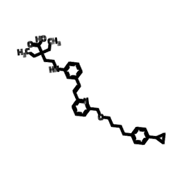 CCC(CC)(CCNc1cccc(C=Cc2cccc(COCCCCc3ccc(C4CC4)cc3)n2)c1)C(=O)O